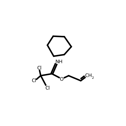 C1CCCCC1.C=CCOC(=N)C(Cl)(Cl)Cl